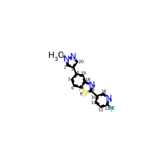 Cn1cc(-c2ccc3sc(-c4ccc(F)nc4)nc3c2)cn1